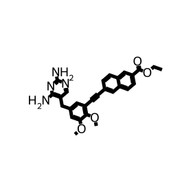 CCOC(=O)c1ccc2cc(C#Cc3cc(Cc4cnc(N)nc4N)cc(OC)c3OC)ccc2c1